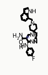 N#CCC1(N/C=C(\C(=N)Nc2ccc(F)cc2)C(N)O)CCN(Cc2cccc3cc[nH]c23)CC1